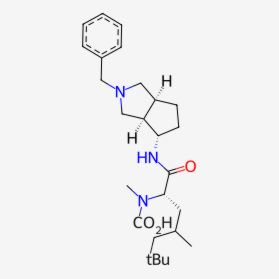 CC(C[C@@H](C(=O)N[C@H]1CC[C@@H]2CN(Cc3ccccc3)C[C@@H]21)N(C)C(=O)O)CC(C)(C)C